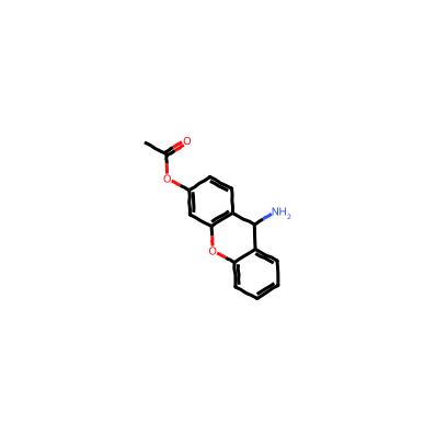 CC(=O)Oc1ccc2c(c1)Oc1ccccc1C2N